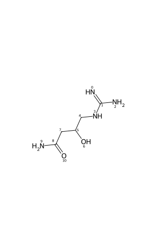 N=C(N)NCC(O)CC(N)=O